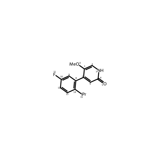 COc1c[nH]c(=O)cc1-c1cc(F)ccc1C(C)C